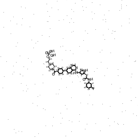 O=C(Cc1cc(Nc2ncnc3cc(-c4ccc(C(=O)N5CCN(CCOP(=O)(O)O)CC5)cc4)ccc23)n[nH]1)Nc1cccc(F)c1